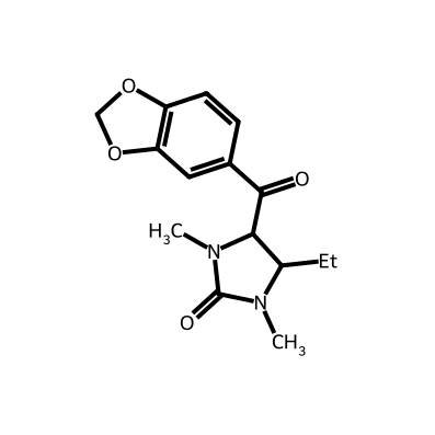 CCC1C(C(=O)c2ccc3c(c2)OCO3)N(C)C(=O)N1C